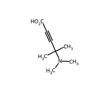 CN(C)C(C)(C)C#CC(=O)O